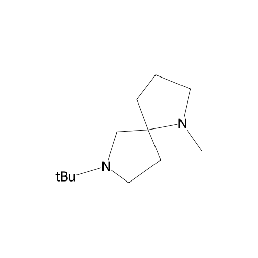 CN1CCCC12CCN(C(C)(C)C)C2